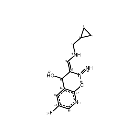 N=N/C(=C\NCC1CC1)C(O)c1cc(F)cnc1Cl